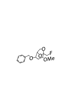 COC1CC(OCc2ccccc2)C2COC1(CF)O2